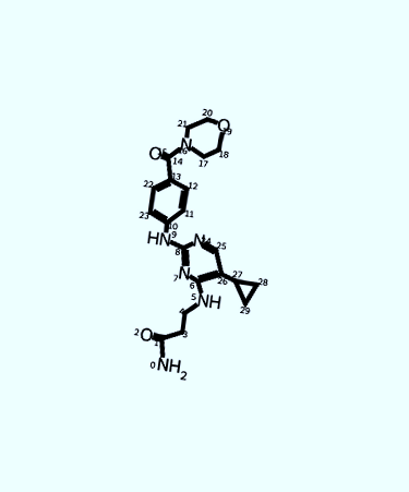 NC(=O)CCNc1nc(Nc2ccc(C(=O)N3CCOCC3)cc2)ncc1C1CC1